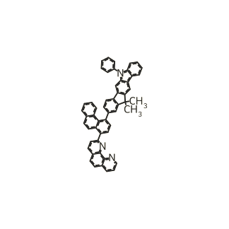 CC1(C)c2cc(-c3ccc(-c4ccc5ccc6cccnc6c5n4)c4ccc5ccccc5c34)ccc2-c2cc3c(cc21)c1ccccc1n3-c1ccccc1